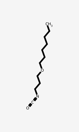 CCCCCCCOCCCN=C=O